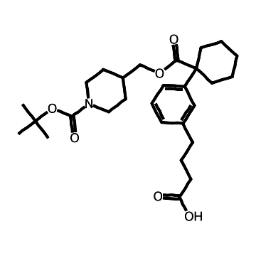 CC(C)(C)OC(=O)N1CCC(COC(=O)C2(c3cccc(CCCC(=O)O)c3)CCCCC2)CC1